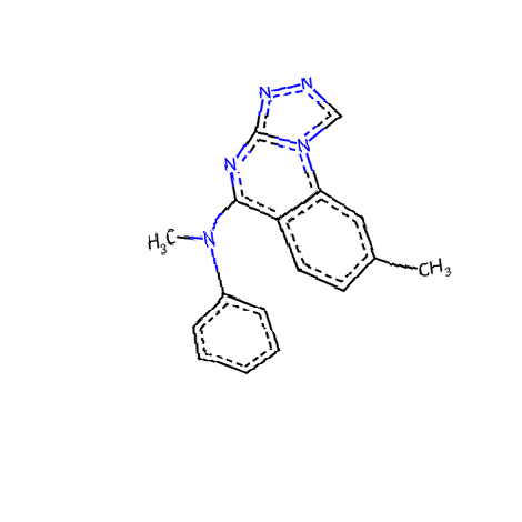 Cc1ccc2c(N(C)c3ccccc3)nc3nncn3c2c1